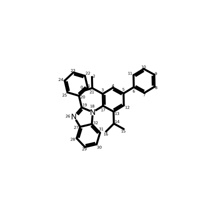 CC(C)c1cc(-c2ccccc2)cc(C(C)C)c1-n1c(-c2ccccc2)nc2ccccc21